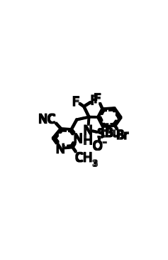 Cc1ncc(C#N)c(CC(N[S+]([O-])C(C)(C)C)(c2cc(Br)ccc2F)C(F)F)n1